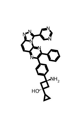 N[C@]1(c2ccc(-c3nc4ccc5nnc(-c6cncnc6)n5c4nc3-c3ccccc3)cc2)C[C@](O)(C2CC2)C1